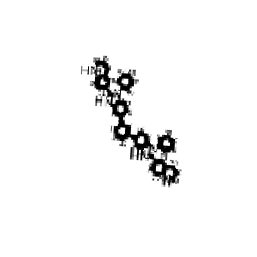 C1=Cc2cc(C3Nc4cc(-c5cccc(-c6ccc7c(c6)NC(c6ccc8ncccc8c6)N7c6ccccc6)c5)ccc4N3c3ccccc3)ccc2NC1